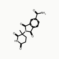 CC1(N2C(=O)c3ccc(C(N)=O)cc3C2=O)CCC(=O)NC1=O